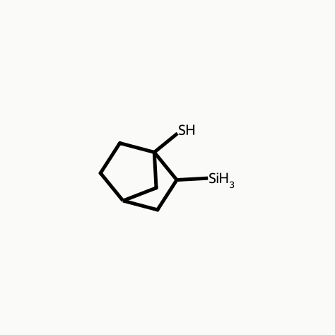 [SiH3]C1CC2CCC1(S)C2